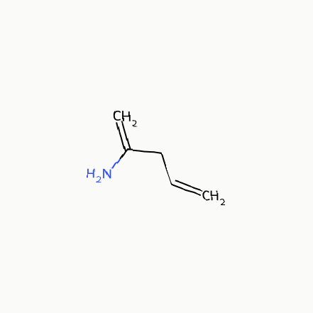 C=CCC(=C)N